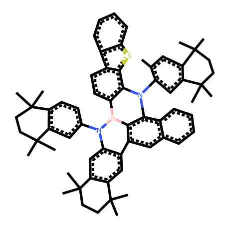 Cc1cc2c(cc1N1c3c4c(cc5ccccc35)-c3cc5c(cc3N(c3ccc6c(c3)C(C)(C)CCC6(C)C)B4c3ccc4c(sc6ccccc64)c31)C(C)(C)CCC5(C)C)C(C)(C)CCC2(C)C